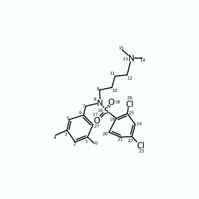 Cc1cc(C)cc(CN(CCCCN(C)C)S(=O)(=O)c2ccc(Cl)cc2Cl)c1